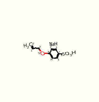 C=CCOc1ccc(S(=O)(=O)O)cc1.[NaH]